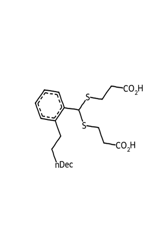 CCCCCCCCCCCCc1ccccc1C(SCCC(=O)O)SCCC(=O)O